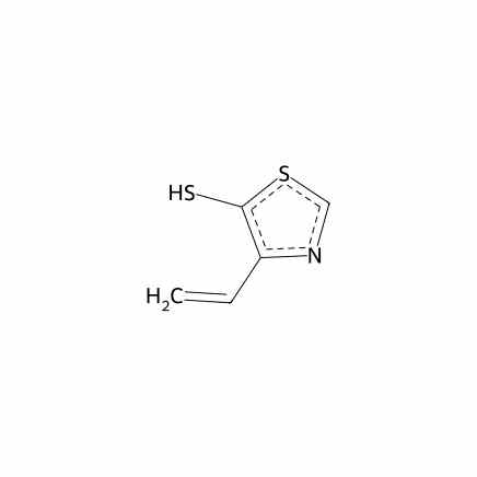 C=Cc1ncsc1S